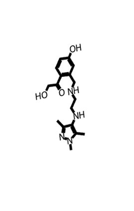 Cc1nn(C)c(C)c1NCCNCc1cc(O)ccc1C(=O)CO